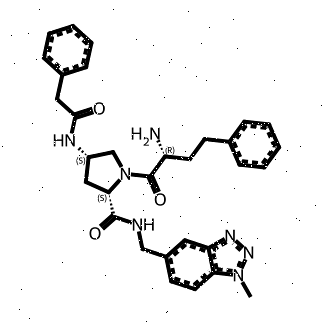 Cn1nnc2cc(CNC(=O)[C@@H]3C[C@H](NC(=O)Cc4ccccc4)CN3C(=O)[C@H](N)CCc3ccccc3)ccc21